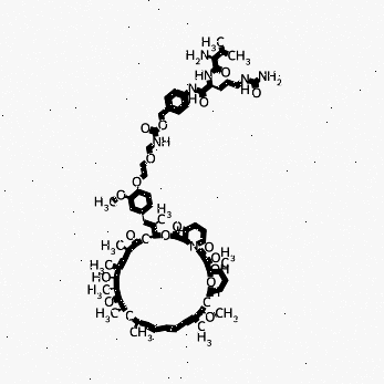 CO[C@H]1C[C@@H]2CC[C@@H](C)[C@@](O)(O2)C(=O)C(=O)N2CCCC[C@H]2C(=O)O[C@H]([C@@H](C)C[C@H]2CC[C@@H](OCCOCNC(=O)OCc3ccc(NC(=O)[C@H](CCCNC(N)=O)NC(=O)[C@@H](N)C(C)C)cc3)[C@H](OC)C2)CC(=O)[C@H](C)/C=C(\C)[C@@H](O)[C@@H](C)C(=O)[C@H](C)C[C@H](C)/C=C/C=C/C=C/1C